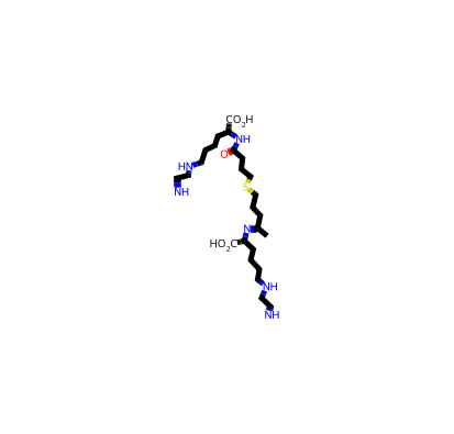 CC(CCCSCCCC(=O)NC(CCCCNCC=N)C(=O)O)=NC(CCCCNCC=N)C(=O)O